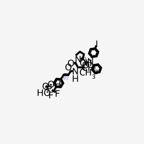 CC(C)(C)C(NC(=O)/C=C/c1ccc(C(F)(F)P(=O)(O)O)cc1)C(=O)N1CCC[C@H]1C(=O)N(c1ccccc1)c1ccc(I)cc1